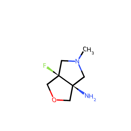 CN1C[C@]2(N)COC[C@]2(F)C1